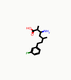 CC(CCc1cccc(F)c1)CC(N)C(C)C(=O)O